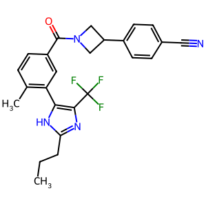 CCCc1nc(C(F)(F)F)c(-c2cc(C(=O)N3CC(c4ccc(C#N)cc4)C3)ccc2C)[nH]1